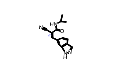 CC(C)NC(=O)/C(C#N)=C\c1ccc2cn[nH]c2c1